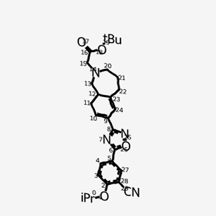 CC(C)Oc1ccc(-c2nc(C3=CCC4CN(CC(=O)OC(C)(C)C)CCCC4=C3)no2)cc1C#N